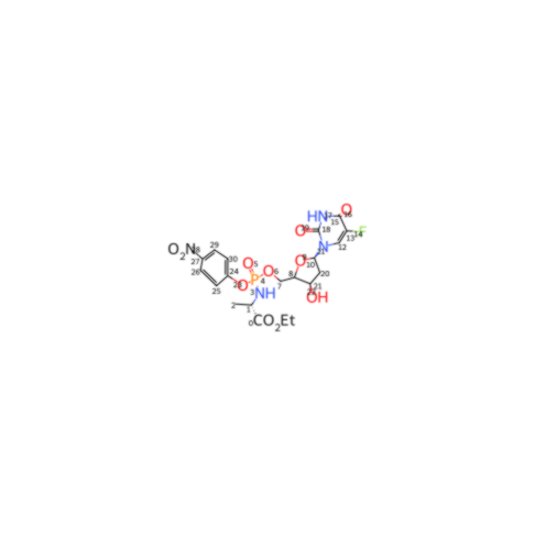 CCOC(=O)[C@H](C)NP(=O)(OCC1O[C@@H](n2cc(F)c(=O)[nH]c2=O)C[C@H]1O)Oc1ccc([N+](=O)[O-])cc1